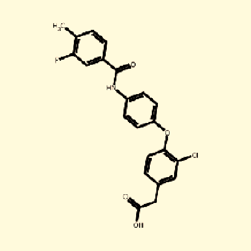 Cc1ccc(C(=O)Nc2ccc(Oc3ccc(CC(=O)O)cc3Cl)cc2)cc1F